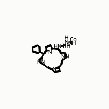 [Co][NH]NNNc1c2nc(c(-c3ccccc3)c3ccc(cc4nc(cc5ccc1[nH]5)C=C4)[nH]3)C=C2